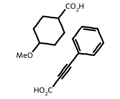 COC1CCC(C(=O)O)CC1.O=C(O)C#Cc1ccccc1